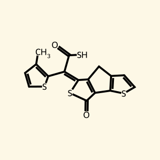 Cc1ccsc1/C(C(=O)S)=C1\SC(=O)C2=C1Cc1ccsc12